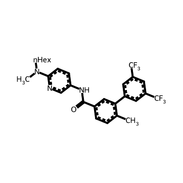 CCCCCCN(C)c1ccc(NC(=O)c2ccc(C)c(-c3cc(C(F)(F)F)cc(C(F)(F)F)c3)c2)cn1